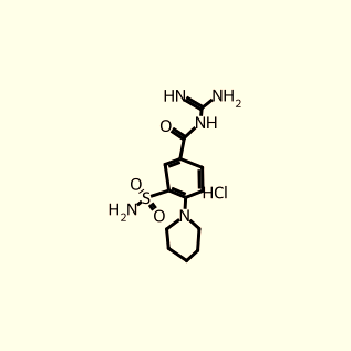 Cl.N=C(N)NC(=O)c1ccc(N2CCCCC2)c(S(N)(=O)=O)c1